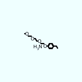 CCc1ccc(OCCOCCOCCOC)cc1.N